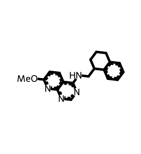 COc1ccc2c(NCC3CCCc4ccccc43)ncnc2n1